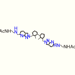 CC(=O)NCCNCc1ccc2cn(Cc3cccc(-c4cccc(Cn5cc6ccc(CNCCNC(C)=O)nc6n5)c4C)c3C)nc2n1